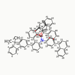 CC1(C)c2ccccc2-c2cc(-c3cccc(N(c4ccc(-c5cccc6ccccc56)cc4)c4cccc(-c5ccccc5)c4-c4ccccc4)c3-c3cccc4c3oc3ccccc34)ccc21